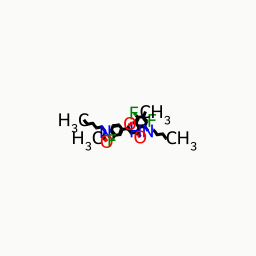 CCCCCNc1c(F)c(C)c(F)c2oc(-c3ccc(N(CCCCC)C(C)=O)c(F)c3)cc(=O)c12